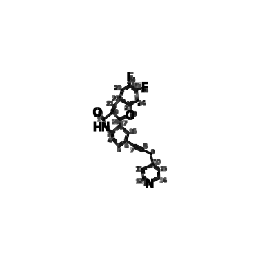 O=C1Nc2ccc(C#CCc3ccncc3)cc2C(=O)/C1=C\c1ccc(F)c(F)c1